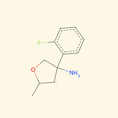 CC1[CH]C(N)(c2ccccc2F)CO1